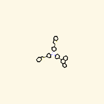 c1ccc2sc(-c3ccc(N(c4ccc(-c5cc6ccccc6s5)cc4)c4ccc(-c5cc6ccccc6c6ccccc56)cc4)cc3)cc2c1